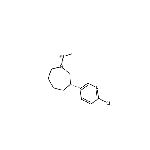 CNN1CCCC[C@@H](c2ccc(Cl)nc2)C1